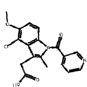 COc1ccc2c(c1Cl)c(CC(=O)O)c(C)n2C(=O)c1cccnc1